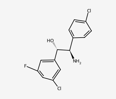 N[C@H](c1ccc(Cl)cc1)[C@@H](O)c1cc(F)cc(Cl)c1